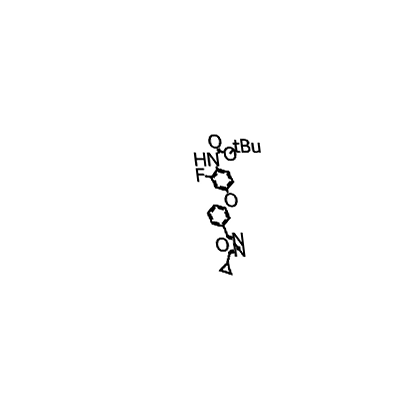 CC(C)(C)OC(=O)Nc1ccc(Oc2cccc(-c3nnc(C4CC4)o3)c2)cc1F